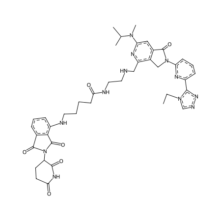 CCn1cnnc1-c1cccc(N2Cc3c(cc(N(C)C(C)C)nc3CNCCNC(=O)CCCCNc3cccc4c3C(=O)N(C3CCC(=O)NC3=O)C4=O)C2=O)n1